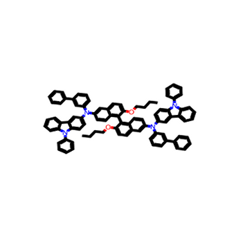 CCCCOc1ccc2cc(N(c3cccc(-c4ccccc4)c3)c3ccc4c(c3)c3ccccc3n4-c3ccccc3)ccc2c1-c1c(OCCCC)ccc2cc(N(c3cccc(-c4ccccc4)c3)c3ccc4c(c3)c3ccccc3n4-c3ccccc3)ccc12